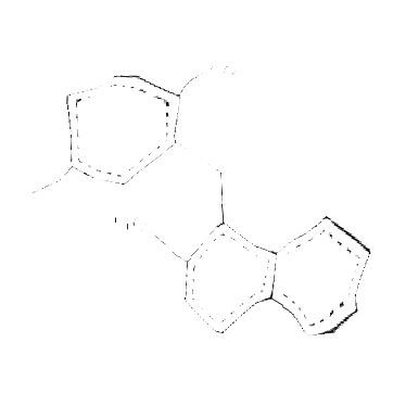 Cc1ccc(C#N)c(Cc2c(O)ccc3ccccc23)c1